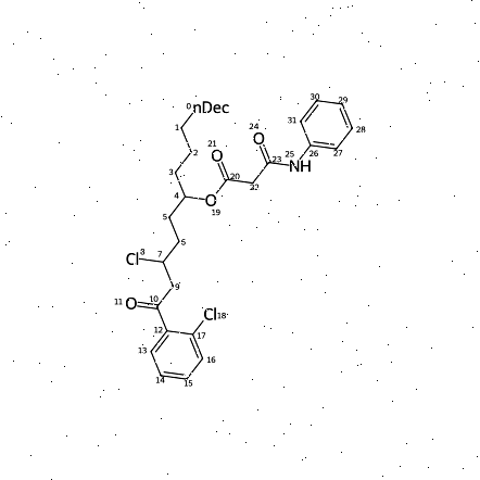 CCCCCCCCCCCCCC(CCC(Cl)CC(=O)c1ccccc1Cl)OC(=O)CC(=O)Nc1ccccc1